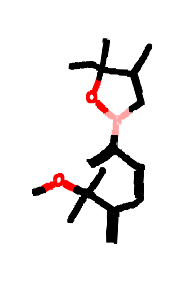 C=C(/C=C\C(=C)C(C)(C)OC)B1CC(C)C(C)(C)O1